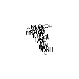 Nc1nc2c(ncn2[C@@H]2O[C@H](CO)[C@@H](F)[C@H]2OP(=O)(S)OC2[C@H]3O[C@@H](n4nnc5c(=O)[nH]cnc54)C(F)(F)[C@@]23O)c(=O)[nH]1